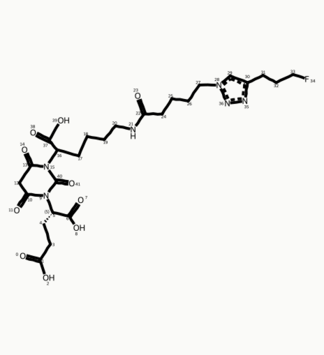 O=C(O)CC[C@@H](C(=O)O)N1C(=O)CC(=O)N(C(CCCCNC(=O)CCCCn2cc(CCCF)nn2)C(=O)O)C1=O